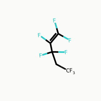 FC(F)=C(F)C(F)(F)CC(F)(F)F